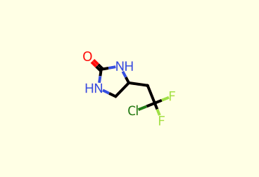 O=C1NCC(CC(F)(F)Cl)N1